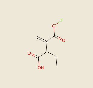 C=C(C(=O)OF)C(CC)C(=O)O